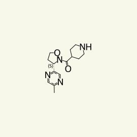 Cc1cnc([C@@H]2CCON2C(=O)C2CCNCC2)cn1